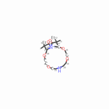 CCC(C)(C)C(=O)[N+]1(C(=O)C(C)(C)CC)CCOCCOCCNCCOCCOCC1